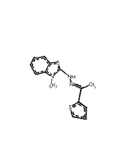 C/C(=N\Nc1nc2ccccc2n1C)c1cccs1